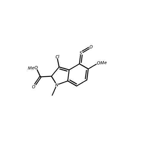 COC(=O)C1C(Cl)=C2C(=CC=C(OC)C2=S=O)N1C